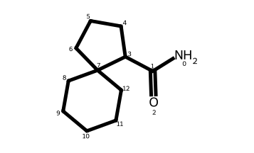 NC(=O)C1CCCC12CCCCC2